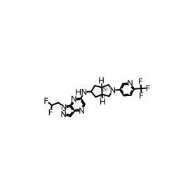 FC(F)Cn1ncc2ncc(NC3C[C@@H]4CN(c5ccc(C(F)(F)F)nc5)C[C@@H]4C3)nc21